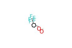 O=[C]OCc1cccc(C(F)(F)C(F)(F)F)c1